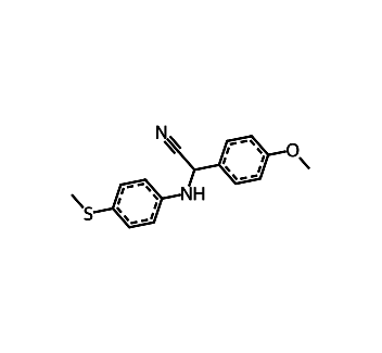 COc1ccc(C(C#N)Nc2ccc(SC)cc2)cc1